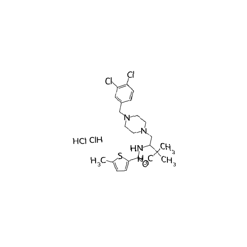 Cc1ccc(C(=O)NC(CN2CCN(Cc3ccc(Cl)c(Cl)c3)CC2)C(C)(C)C)s1.Cl.Cl